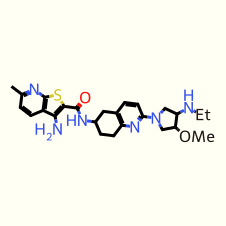 CCNC1CN(c2ccc3c(n2)CCC(NC(=O)c2sc4nc(C)ccc4c2N)C3)CC1OC